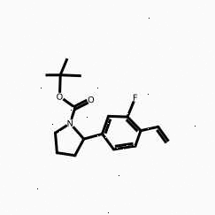 C=Cc1ccc(C2CCCN2C(=O)OC(C)(C)C)cc1F